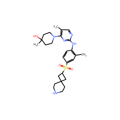 Cc1cc(S(=O)(=O)C2CC3(CCNCC3)C2)ccc1Nc1ncc(C(F)(F)F)c(N2CCC(C)(O)CC2)n1